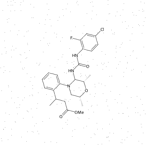 COC(=O)CC(C)c1ccccc1N1C[C@@H](C)O[C@@H](C)C1NC(=O)Nc1ccc(Cl)cc1F